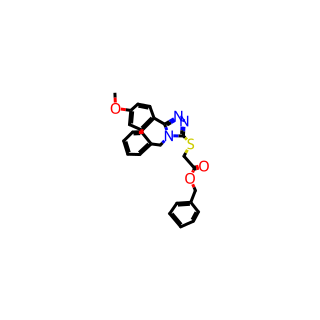 COc1ccc(-c2nnc(SCC(=O)OCc3ccccc3)n2Cc2ccccc2)cc1